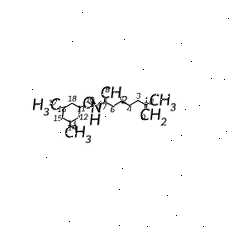 C=C(C)CCCCC(=C)NOC1CC(C)CC(C)C1